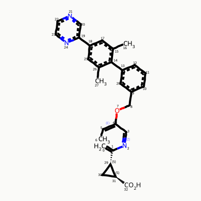 C=C(/N=C\C(=C/C)OCc1cccc(-c2c(C)cc(-c3cnccn3)cc2C)c1)[C@H]1C[C@@H]1C(=O)O